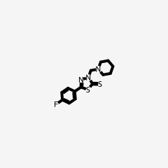 Fc1ccc(-c2nn(CN3CCCCC3)c(=S)s2)cc1